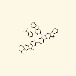 CC(C)(C)c1ccc(N2B3c4cc5c(cc4-n4c6cc7c(cc6c6ccc(c3c64)-c3cc4c(cc32)-c2cc3c(cc2C4(C)C)C(C)(C)CCC3(C)C)C(C)(C)c2ccccc2-7)sc2ccccc25)cc1